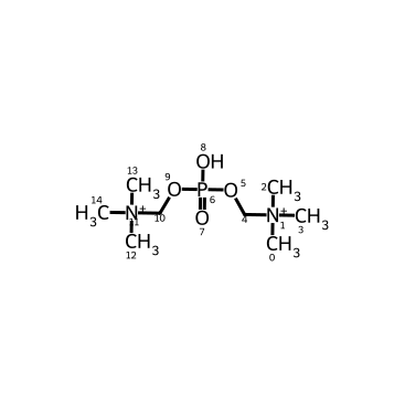 C[N+](C)(C)COP(=O)(O)OC[N+](C)(C)C